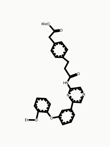 CCOc1ccccc1Oc1cccc(-c2cncc(NC(=O)CCc3ccc(CC(=O)OC)cc3)n2)c1